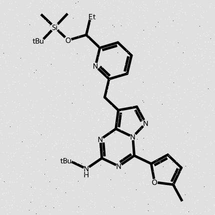 CCC(O[Si](C)(C)C(C)(C)C)c1cccc(Cc2cnn3c(-c4ccc(C)o4)nc(NC(C)(C)C)nc23)n1